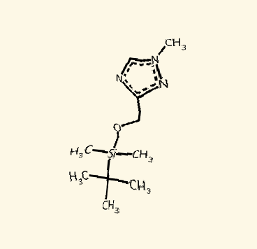 Cn1cnc(CO[Si](C)(C)C(C)(C)C)n1